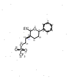 CCC1OC(c2ccccc2)CC/C1=C\COS(=O)(=O)C(F)(F)F